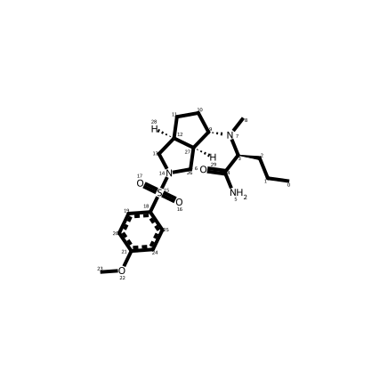 CCC[C@@H](C(N)=O)N(C)[C@H]1CC[C@@H]2CN(S(=O)(=O)c3ccc(OC)cc3)C[C@@H]21